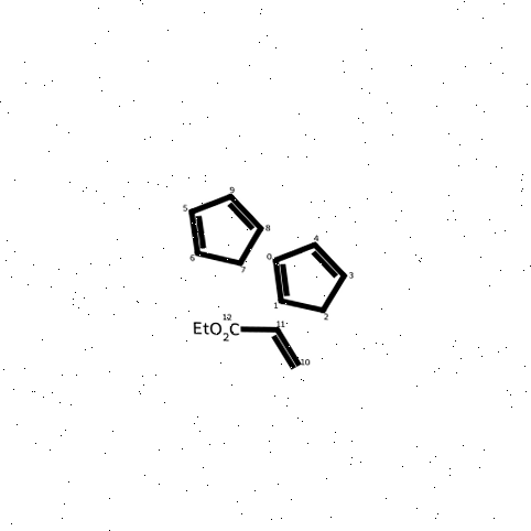 C1=CCC=C1.C1=CCC=C1.C=CC(=O)OCC